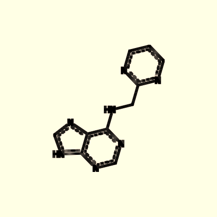 c1cnc(CNc2ncnc3[nH]cnc23)nc1